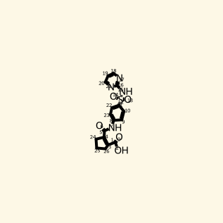 O=C(O)C1=C(C(=O)Nc2ccc(S(=O)(=O)Nc3ncccn3)cc2)CCC1